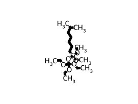 CCOC(OCC)(OCC)O[Si](CCCCCC(C)C)(OC)OC